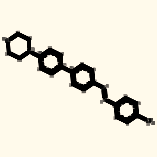 FC(F)(F)c1ccc(N=Nc2ccc(-c3ccc(N4CCOCC4)cc3)cc2)cc1